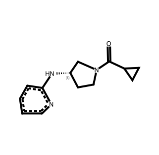 O=C(C1CC1)N1CC[C@H](Nc2ccccn2)C1